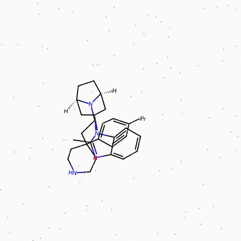 Cc1nc2ccccc2n1[C@H]1C[C@H]2CC[C@@H](C1)N2CCC1(c2ccc(C(C)C)cc2)CCNCC1